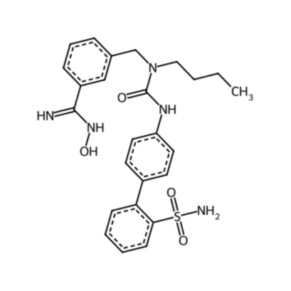 CCCCN(Cc1cccc(C(=N)NO)c1)C(=O)Nc1ccc(-c2ccccc2S(N)(=O)=O)cc1